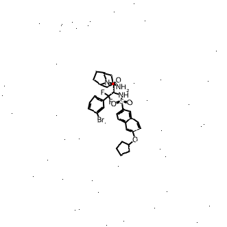 NC1CC2CCC(C1)N2C(=O)C(NS(=O)(=O)c1ccc2cc(OC3CCCC3)ccc2c1)C(F)(F)c1cccc(Br)c1